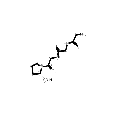 NCC(=O)NCC(=O)NCC(=O)N1CCC[C@H]1C(=O)O